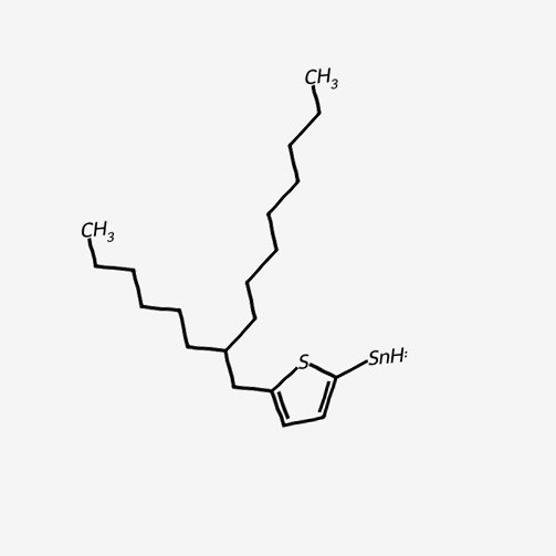 CCCCCCCCC(CCCCCC)Cc1cc[c]([SnH])s1